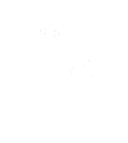 CCCCCCCCCCCCCC[C@@H](O)[C@@H](O)[C@H](CO[C@H]1OC(CO)[C@@H](F)[C@H](O)C1O)NC(=O)CCCCCCCCCCc1ccc(Oc2ccc(F)cc2)cc1